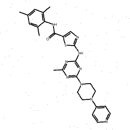 Cc1cc(C)c(NC(=O)c2cnc(Nc3nc(C)nc(N4CCN(c5ccncc5)CC4)n3)s2)c(C)c1